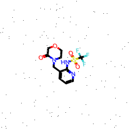 O=C1COCCN1Cc1cccnc1NS(=O)(=O)C(F)(F)F